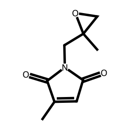 CC1=CC(=O)N(CC2(C)CO2)C1=O